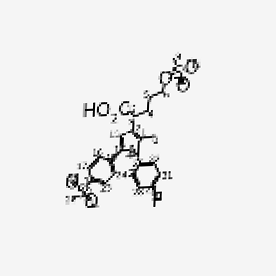 Cc1c(C(CCCOS(C)(=O)=O)C(=O)O)cc(-c2ccc(S(C)(=O)=O)cc2)n1-c1ccc(F)cc1